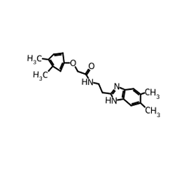 Cc1ccc(OCC(=O)NCCc2nc3cc(C)c(C)cc3[nH]2)cc1C